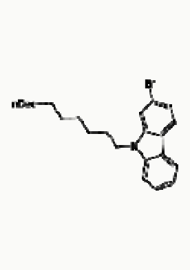 CCCCCCCCCCCCCCCCn1c2ccccc2c2ccc(Br)cc21